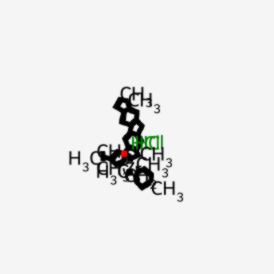 Cl.Cl.[CH2]=[Zr]([CH3])([C]1=CC(C(C)(C)C)=CC1)([C]1=Cc2cc3c(cc2C1(C)C)Cc1cc2c(cc1-3)C=CC2(C)C)[c]1ccc(C)cc1